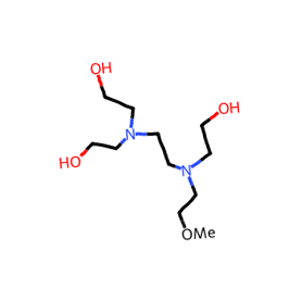 COCCN(CCO)CCN(CCO)CCO